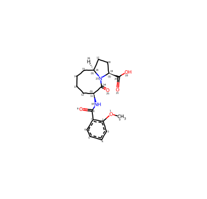 COc1ccccc1C(=O)N[C@H]1CCCC[C@H]2CC[C@@H](C(=O)O)N2C1=O